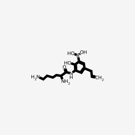 C=CCc1cc(NC(=O)C(N)CCCCN)c(O)c(B(O)O)c1